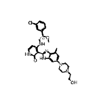 CO[C@H](CNc1cc[nH]c(=O)c1-c1nc2c(C)cc(N3CCN(CCO)CC3)cc2[nH]1)c1cccc(Cl)c1